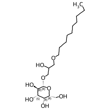 CCCCCCCCCCOCC(O)CO[C@@H]1O[C@H](CO)[C@H](O)[C@H](O)[C@H]1O